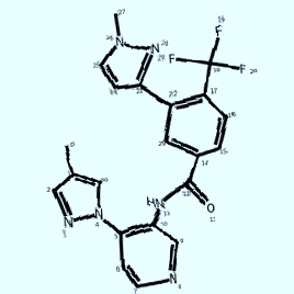 Cc1cnn(-c2ccncc2NC(=O)c2ccc(C(F)(F)F)c(-c3ccn(C)n3)c2)c1